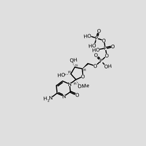 CO[C@@]1(n2ccc(N)nc2=O)O[C@H](COP(=O)(O)OP(=O)(O)OP(=O)(O)O)[C@@H](O)[C@H]1O